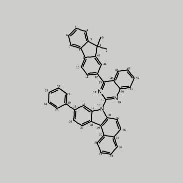 CC1(C)c2ccccc2-c2ccc(-c3nc(-n4c5cc(-c6ccccc6)ccc5c5c6ccccc6ccc54)nc4ccccc34)cc21